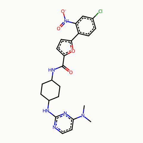 CN(C)c1ccnc(NC2CCC(NC(=O)c3ccc(-c4ccc(Cl)cc4[N+](=O)[O-])o3)CC2)n1